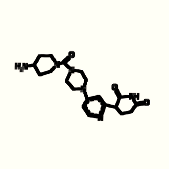 NC1CCN(C(=O)N2CCN(c3ccnc(C4CCC(=O)NC4=O)c3)CC2)CC1